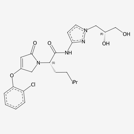 CC(C)CC[C@@H](C(=O)Nc1ccn(C[C@@H](O)CO)n1)N1CC(Oc2ccccc2Cl)=CC1=O